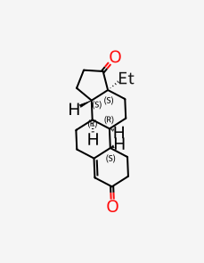 CC[C@]12CC[C@@H]3[C@@H](CCC4=CC(=O)CC[C@H]43)[C@@H]1CCC2=O